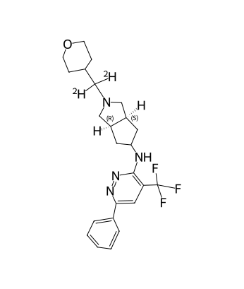 [2H]C([2H])(C1CCOCC1)N1C[C@H]2CC(Nc3nnc(-c4ccccc4)cc3C(F)(F)F)C[C@H]2C1